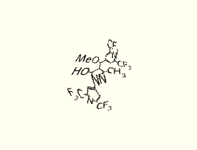 COC(c1cc(C(F)(F)F)nc(C(F)(F)F)c1)C1C(C)=NN(c2cc(C(F)(F)F)nc(C(F)(F)F)c2)C1O